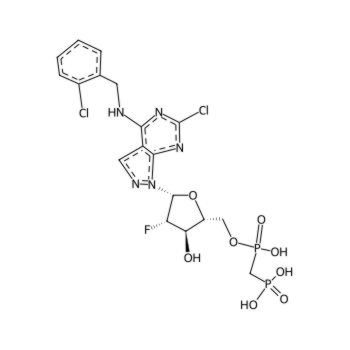 O=P(O)(O)CP(=O)(O)OC[C@H]1O[C@@H](n2ncc3c(NCc4ccccc4Cl)nc(Cl)nc32)[C@@H](F)[C@@H]1O